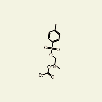 CCC(=O)O[C@H](C)COS(=O)(=O)c1ccc(C)cc1